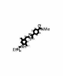 CCN(C)CNc1cc(C)c(Cc2nc(C3CCC(C(=O)NC)CC3)cs2)cc1C